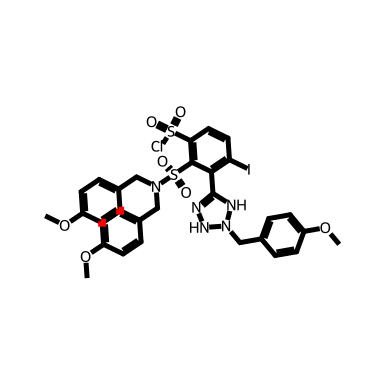 COc1ccc(CN2NN=C(c3c(I)ccc(S(=O)(=O)Cl)c3S(=O)(=O)N(Cc3ccc(OC)cc3)Cc3ccc(OC)cc3)N2)cc1